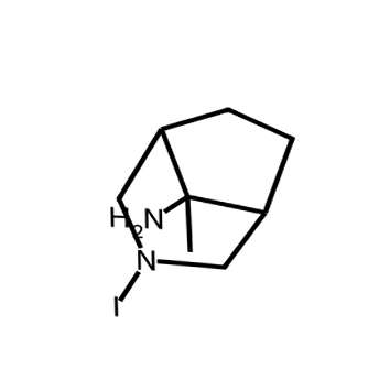 CC1(N)C2CCC1CN(I)C2